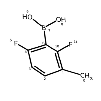 Cc1ccc(F)c(B(O)O)c1F